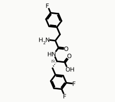 NC(Cc1ccc(F)cc1)C(=O)N[C@@H](Cc1ccc(F)c(F)c1)C(=O)O